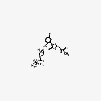 CC(=O)NC[C@H]1CN(c2cc(F)ccc2OC[C@@H]2C3CN(C(=O)OC(C)(C)C)C[C@@H]32)C(=O)O1